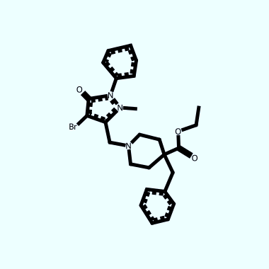 CCOC(=O)C1(Cc2ccccc2)CCN(Cc2c(Br)c(=O)n(-c3ccccc3)n2C)CC1